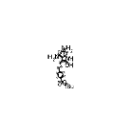 CC(C)(C)OC(=O)c1ccc(CCCc2c(O)[nH]c3nc(N)nc(N)c23)cc1